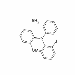 B.COc1ccccc1[P@@](c1ccccc1)c1ccccc1I